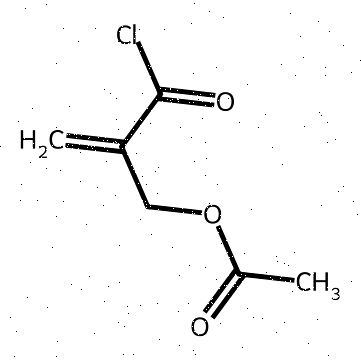 C=C(COC(C)=O)C(=O)Cl